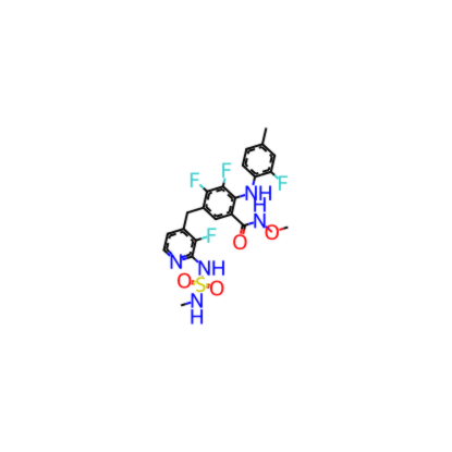 CNS(=O)(=O)Nc1nccc(Cc2cc(C(=O)NOC)c(Nc3ccc(C)cc3F)c(F)c2F)c1F